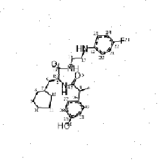 CC(C(=O)N[C@@H](CC1CCCCC1)C(=O)NCCNc1ccc(F)cc1)c1ccc(O)cc1